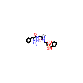 CC[C@@H](CNC(=O)[C@@H](N)Cc1ccccc1)C(=O)NC[C@@H](O)CP(=O)(O)CC1CCCCC1